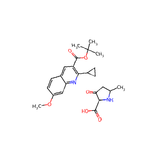 CC1CC(=O)C(C(=O)O)N1.COc1ccc2cc(C(=O)OC(C)(C)C)c(C3CC3)nc2c1